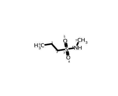 CC[CH]S(=O)(=O)NC